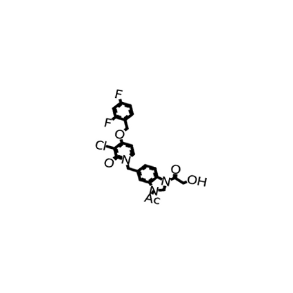 CC(=O)N1CN(C(=O)CO)c2ccc(Cn3ccc(OCc4ccc(F)cc4F)c(Cl)c3=O)cc21